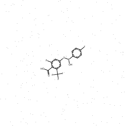 O=C(O)c1c(F)cc(OB(O)c2ccc(F)cc2)cc1C(F)(F)F